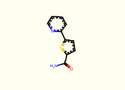 NC(=O)c1ccc(-c2ccccn2)s1